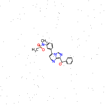 CN(c1cccc(-c2ccnc3c(C(=O)c4ccccc4)ncn23)c1)S(C)(=O)=O